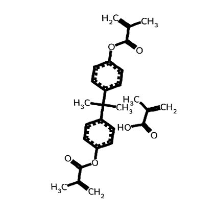 C=C(C)C(=O)O.C=C(C)C(=O)Oc1ccc(C(C)(C)c2ccc(OC(=O)C(=C)C)cc2)cc1